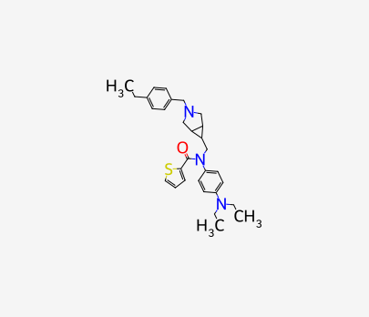 CCc1ccc(CN2CC3C(C2)C3CN(C(=O)c2cccs2)c2ccc(N(CC)CC)cc2)cc1